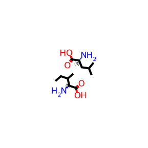 CC(C)C[C@@H](N)C(=O)O.CCC(C)[C@H](N)C(=O)O